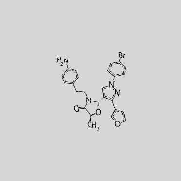 C[C@@H]1O[C@@H](c2cn(-c3ccc(Br)cc3)nc2-c2ccoc2)N(CCc2ccc(N)cc2)C1=O